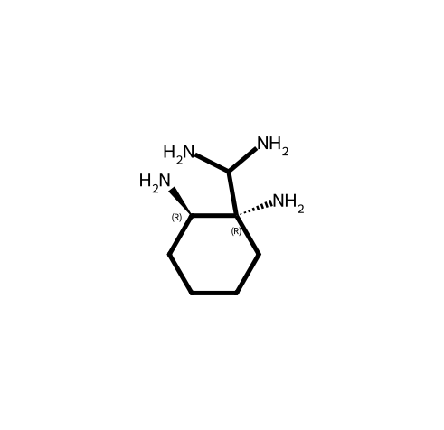 NC(N)[C@@]1(N)CCCC[C@H]1N